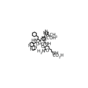 CC(C)(O)c1cnnn1[C@H]1C[C@@H](C(=O)NC(CCCCNC(=O)O)C(=O)C(N)=O)N(C(=O)C(CC2CCCCC2)NC(=O)c2ccnc3nccnc23)C1